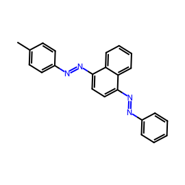 Cc1ccc(N=Nc2ccc(N=Nc3ccccc3)c3ccccc23)cc1